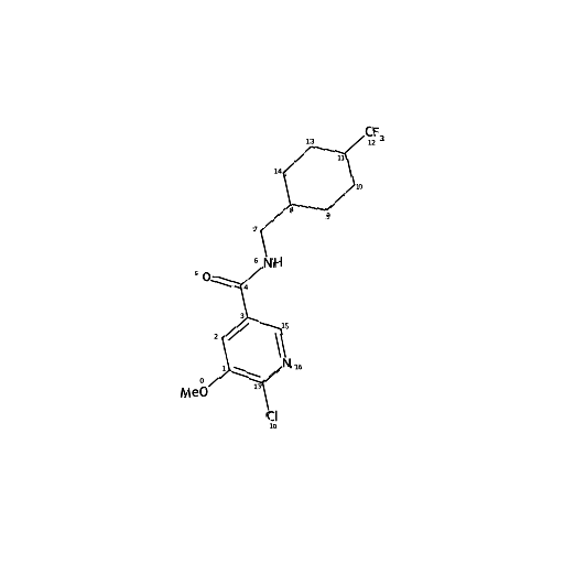 COc1cc(C(=O)NCC2CCC(C(F)(F)F)CC2)cnc1Cl